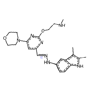 CNCCOc1nc(/C=N/Nc2ccc3[nH]c(C)c(C)c3c2)cc(N2CCOCC2)n1